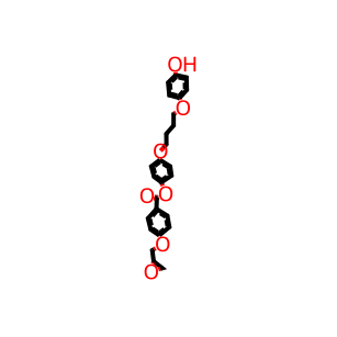 O=C(Oc1ccc(OCCCCOc2ccc(O)cc2)cc1)c1ccc(OCC2CO2)cc1